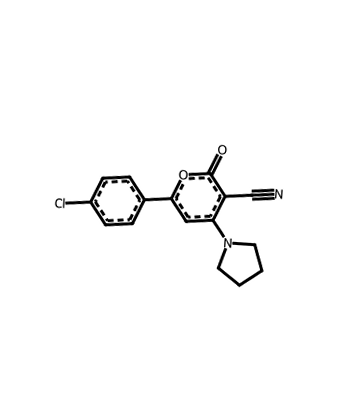 N#Cc1c(N2CCCC2)cc(-c2ccc(Cl)cc2)oc1=O